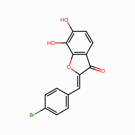 O=C1/C(=C/c2ccc(Br)cc2)Oc2c1ccc(O)c2O